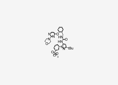 CC(C)(C)c1cc(NC(=O)NCc2ccccc2Oc2ccnc(N3CCOCC3)n2)n(-c2cccc(S(=O)(=O)C(F)(F)F)c2)n1